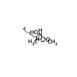 COc1ccc2c(c1)NC(O)C(CCCCCC1CC1)N2C